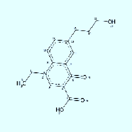 CCn1cc(C(=O)O)c(=O)c2cc(CCCO)ccc21